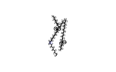 CCCCCCCC/C=C\CCCCCCCC(=O)OC(CCCC)CCCCCCC.CCCCCCCCCCCCCC(=O)OCCCC